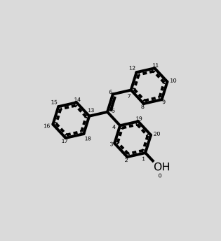 Oc1ccc(/C(=C\c2ccccc2)c2ccccc2)cc1